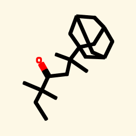 CCC(C)(C)C(=O)CC(C)(C)C12CC3CC(CC(C3)C1)C2